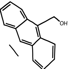 CC.OCc1c2ccccc2cc2ccccc12